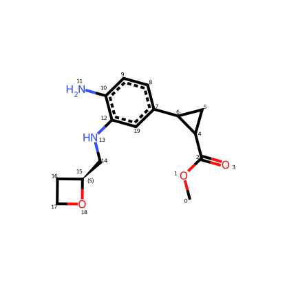 COC(=O)C1CC1c1ccc(N)c(NC[C@@H]2CCO2)c1